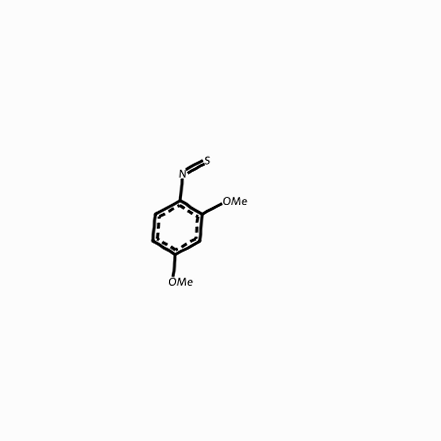 COc1ccc(N=S)c(OC)c1